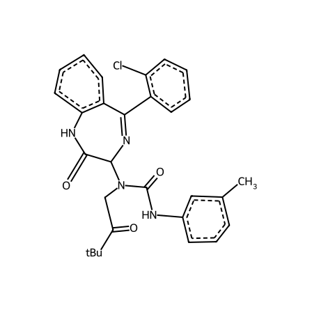 Cc1cccc(NC(=O)N(CC(=O)C(C)(C)C)C2N=C(c3ccccc3Cl)c3ccccc3NC2=O)c1